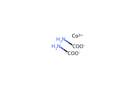 NC(=O)[O-].NC(=O)[O-].[Co+2]